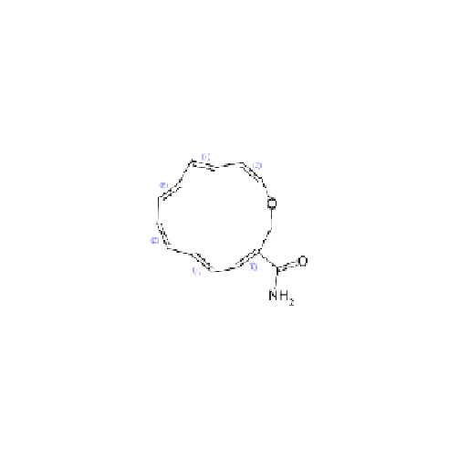 NC(=O)/C1=C/C=C/C=C\C=C\C=C\C=C/OC1